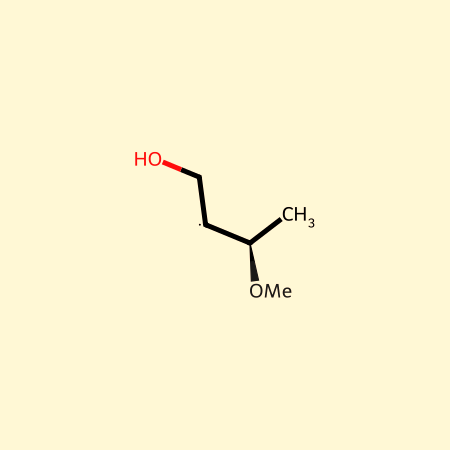 CO[C@H](C)[CH]CO